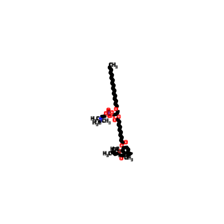 CCCCCCCCCCCCCCCCCOCC(COP(=O)(O)OCC[N+](C)(C)C)OC(=O)CCCCCCCCC(=O)O[C@@H]1CCC2(CC2)[C@@H]([C@@]2(C)O[C@@H]2CC=C(C)C)[C@@H]1OC